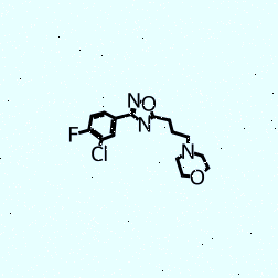 Fc1ccc(-c2noc(CCCN3CCOCC3)n2)cc1Cl